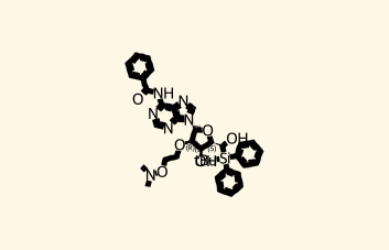 CN(C)OCCO[C@@H]1[C@H](O)[C@@H](C(O)[Si](c2ccccc2)(c2ccccc2)C(C)(C)C)O[C@H]1n1cnc2c(NC(=O)c3ccccc3)ncnc21